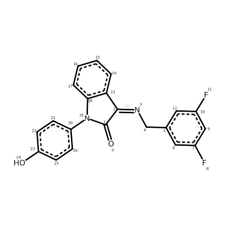 O=C1/C(=N\Cc2cc(F)cc(F)c2)c2ccccc2N1c1ccc(O)cc1